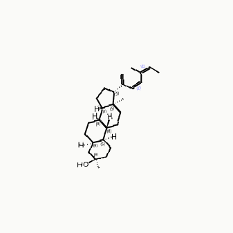 C=C(/C=C\C(C)=C/C)[C@H]1CC[C@H]2[C@@H]3CC[C@@H]4C[C@](C)(O)CC[C@@H]4[C@H]3CC[C@]12C